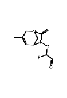 C=C1N2CC(C)=CC(C2)N1OC(F)C=O